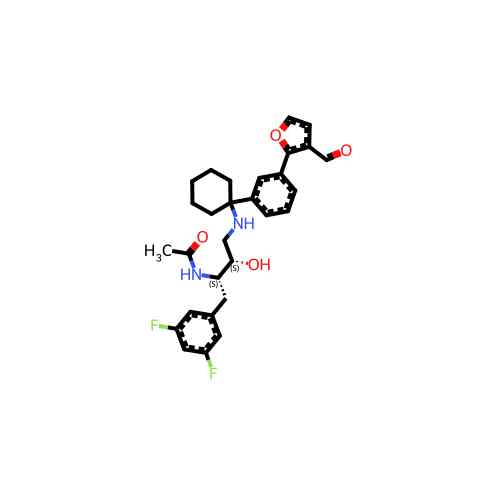 CC(=O)N[C@@H](Cc1cc(F)cc(F)c1)[C@@H](O)CNC1(c2cccc(-c3occc3C=O)c2)CCCCC1